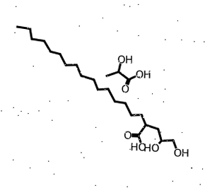 CC(O)C(=O)O.CCCCCCCCCCCCCCCCC(CC(O)CO)C(=O)O